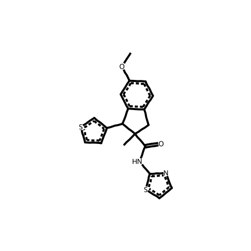 COc1ccc2c(c1)C(c1ccsc1)C(C)(C(=O)Nc1nccs1)C2